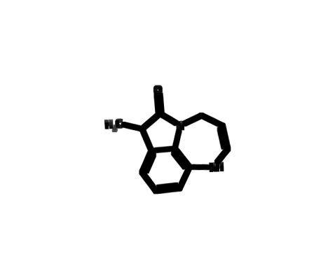 CC1C(=O)N2CC=CNc3cccc1c32